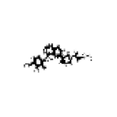 C=CC(=O)N1CC2CC2(c2ccc3ncnc(Nc4ccc(Cl)c(Cl)c4F)c3n2)C1